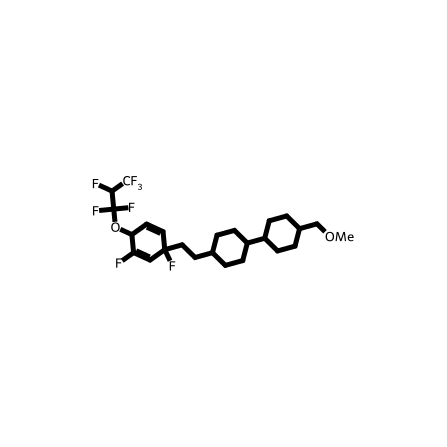 COCC1CCC(C2CCC(CCC3(F)C=CC(OC(F)(F)C(F)C(F)(F)F)C(F)=C3)CC2)CC1